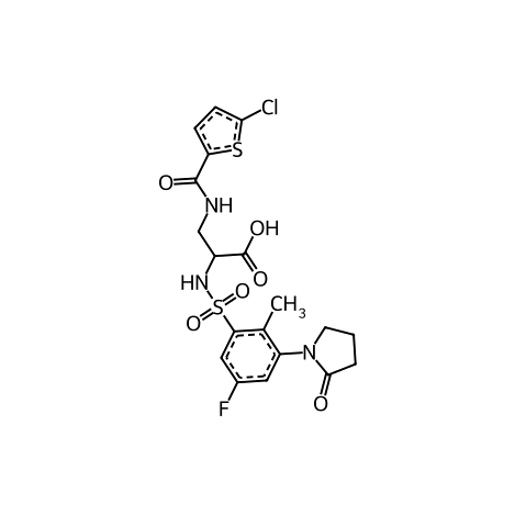 Cc1c(N2CCCC2=O)cc(F)cc1S(=O)(=O)NC(CNC(=O)c1ccc(Cl)s1)C(=O)O